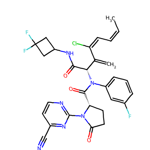 C=C(/C(Cl)=C\C=C/C)[C@@H](C(=O)NC1CC(F)(F)C1)N(C(=O)[C@@H]1CCC(=O)N1c1nccc(C#N)n1)c1cccc(F)c1